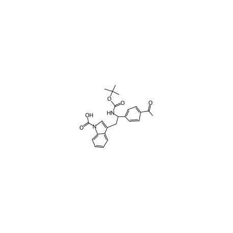 CC(=O)c1ccc(C(Cc2cn(C(=O)O)c3ccccc23)NC(=O)OC(C)(C)C)cc1